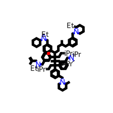 C=C(C)CN(CC)Cc1cccc(C(CCC(C)C)([C](CCC(C)Cc2cccc(CN3CCCCC3CC)c2)c2cccc(CN(CC)C3CCCCC3)c2)C(C)(CCC(C)C)C(CCC(C)C)(c2cccc(CN(C)C(C)C)c2)c2cccc(CN3CCCCC3C)c2)c1